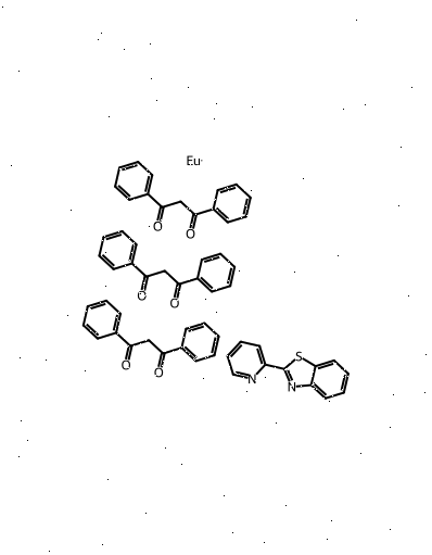 O=C(CC(=O)c1ccccc1)c1ccccc1.O=C(CC(=O)c1ccccc1)c1ccccc1.O=C(CC(=O)c1ccccc1)c1ccccc1.[Eu].c1ccc(-c2nc3ccccc3s2)nc1